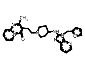 Cc1nc2ccccn2c(=O)c1CCN1CCC(Nc2nc3cccnc3n2Cc2ccco2)CC1